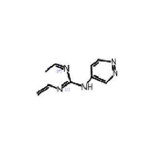 C=C/N=C(\N=C/C)Nc1ccnnc1